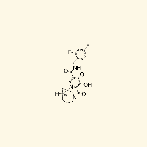 O=C(NCc1ccc(F)cc1F)c1cn2c(c(O)c1=O)C(=O)N1CCC[C@@H]3CC32C1